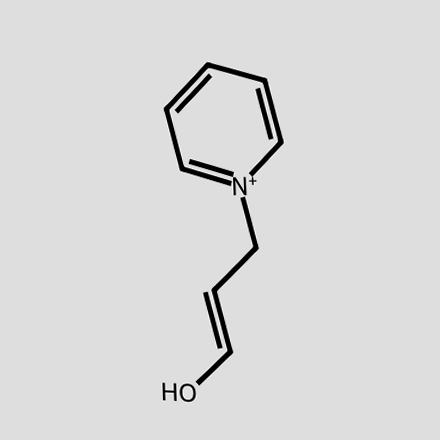 OC=CC[n+]1ccccc1